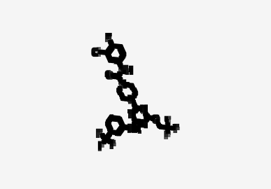 O=C(Nc1ccc(F)c(Cl)c1)N1CCN(c2nc(Nc3cccc(C(F)(F)F)c3)nc(OCC(F)(F)F)n2)CC1